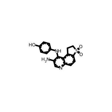 Nc1cnc2ccc3c(c2c1Nc1ccc(O)cc1)CCS3(=O)=O